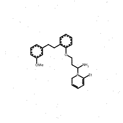 CCC1=CC=CCN1C(N)CCOc1ccccc1CCc1cccc(OC)c1